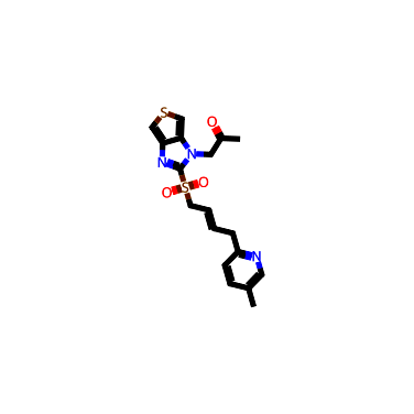 CC(=O)Cn1c(S(=O)(=O)CC=CCc2ccc(C)cn2)nc2cscc21